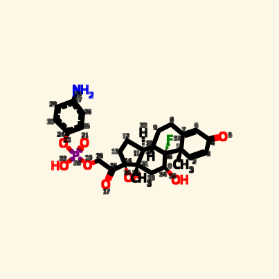 C[C@]12C=CC(=O)C=C1CC[C@H]1[C@@H]3CC[C@](O)(C(=O)COP(=O)(O)Oc4ccc(N)cc4)[C@@]3(C)C[C@H](O)[C@@]12F